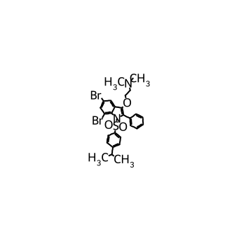 CC(C)c1ccc(S(=O)(=O)n2c(-c3ccccc3)c(OCCN(C)C)c3cc(Br)cc(Br)c32)cc1